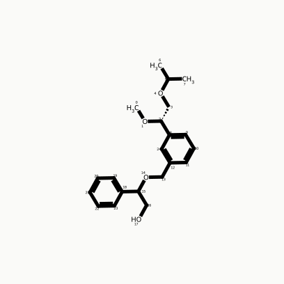 CO[C@H](COC(C)C)c1cccc(COC(CO)c2ccccc2)c1